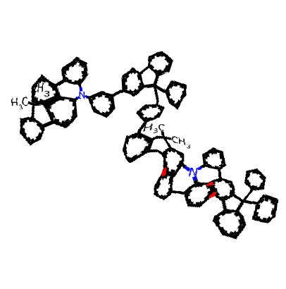 CC1(C)c2ccccc2-c2ccc(N(c3cccc(-c4ccc5c(c4)C(c4ccccc4)(c4ccc(-c6cccc7c6C(C)(C)c6cc(N(c8ccccc8-c8ccccc8)c8ccccc8-c8ccc9c(c8)C(c8ccccc8)(c8ccccc8)c8ccccc8-9)ccc6-7)cc4)c4ccccc4-5)c3)c3ccccc3-c3ccccc3)cc21